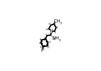 CC1CCN(CCc2ccc(F)cc2)CC1.N